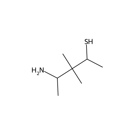 CC(N)C(C)(C)C(C)S